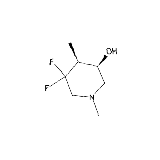 C[C@H]1[C@@H](O)CN(C)CC1(F)F